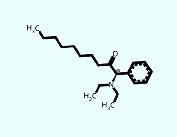 CCCCCCCCC(=O)[C@@H](c1ccccc1)N(CC)CC